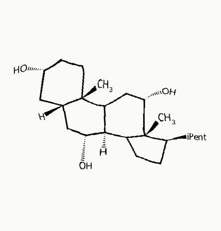 CCCC(C)[C@H]1CCC2[C@@H]3C(C[C@H](O)[C@@]21C)[C@@]1(C)CC[C@@H](O)C[C@H]1C[C@H]3O